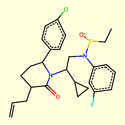 C=CCC1CCC(c2ccc(Cl)cc2)N(C(CN(c2cccc(F)c2)[S+]([O-])CC)C2CC2)C1=O